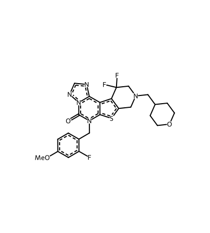 COc1ccc(Cn2c(=O)n3ncnc3c3c4c(sc32)CN(CC2CCOCC2)CC4(F)F)c(F)c1